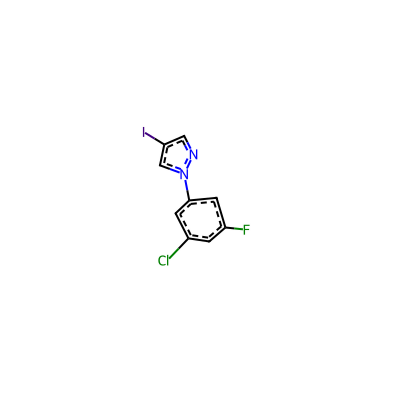 Fc1cc(Cl)cc(-n2cc(I)cn2)c1